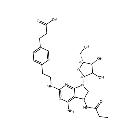 CCC(=O)NN1CN([C@@H]2O[C@H](CO)C(O)C2O)c2nc(NCCc3ccc(CCC(=O)O)cc3)nc(N)c21